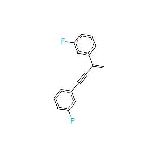 C=C(C#Cc1cccc(F)c1)c1cccc(F)c1